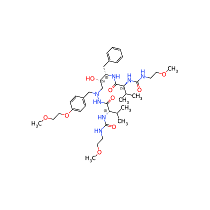 COCCNC(=O)N[C@H](C(=O)N[C@@H](Cc1ccccc1)[C@@H](O)CN(Cc1ccc(OCCOC)cc1)NC(=O)[C@@H](NC(=O)NCCOC)C(C)C)C(C)C